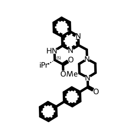 COC(=O)[C@@H](Nc1nc(CN2CCN(C(=O)c3ccc(-c4ccccc4)cc3)CC2)nc2ccccc12)C(C)C